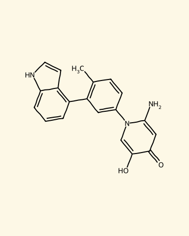 Cc1ccc(-n2cc(O)c(=O)cc2N)cc1-c1cccc2[nH]ccc12